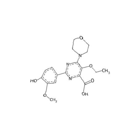 CCOc1c(C(=O)O)nc(-c2ccc(O)c(OC)c2)nc1N1CCOCC1